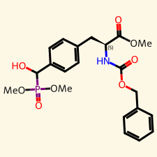 COC(=O)[C@H](Cc1ccc(C(O)P(=O)(OC)OC)cc1)NC(=O)OCc1ccccc1